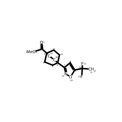 COC(=O)C12CCC(c3cc(C(C)(F)F)on3)(CC1)CC2